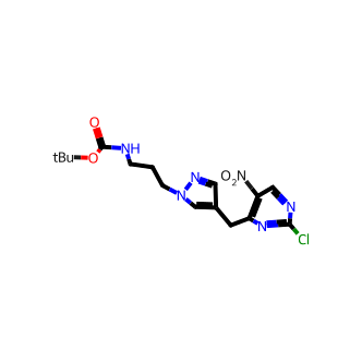 CC(C)(C)OC(=O)NCCCn1cc(Cc2nc(Cl)ncc2[N+](=O)[O-])cn1